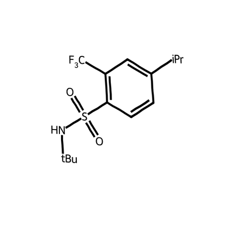 CC(C)c1ccc(S(=O)(=O)NC(C)(C)C)c(C(F)(F)F)c1